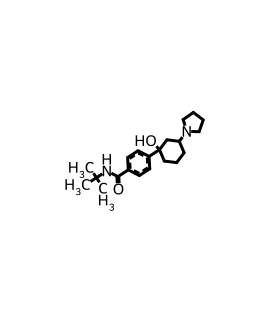 CC(C)(C)NC(=O)c1ccc(C2(O)CCCC(N3CCCC3)C2)cc1